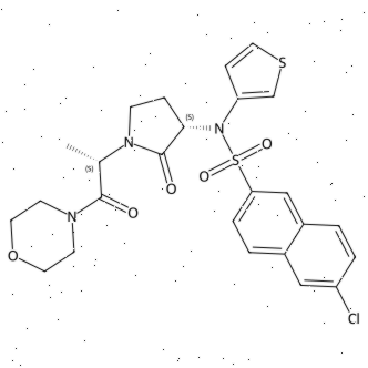 C[C@@H](C(=O)N1CCOCC1)N1CC[C@H](N(c2ccsc2)S(=O)(=O)c2ccc3cc(Cl)ccc3c2)C1=O